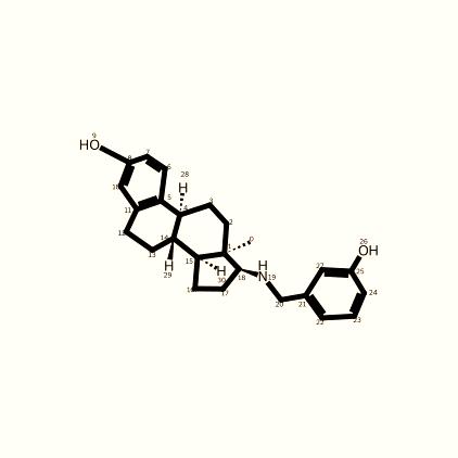 C[C@@]12CC[C@@H]3c4ccc(O)cc4CC[C@H]3[C@@H]1CC[C@@H]2NCc1cccc(O)c1